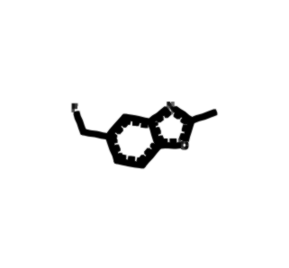 Cc1nc2cc(CF)ccc2o1